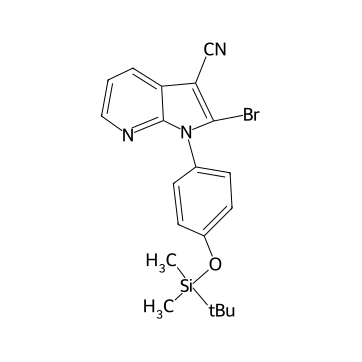 CC(C)(C)[Si](C)(C)Oc1ccc(-n2c(Br)c(C#N)c3cccnc32)cc1